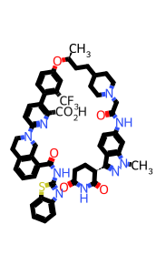 C[C@H](CCC1CCN(CC(=O)Nc2ccc3c([C@H]4CCC(=O)NC4=O)nn(C)c3c2)CC1)Oc1ccc(-c2ccc(N3CCc4cccc(C(=O)Nc5nc6ccccc6s5)c4C3)nc2C(=O)O)c(C(F)(F)F)c1